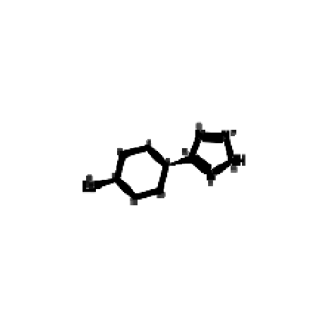 CC[C@H]1CC[C@H](c2nn[nH]n2)CC1